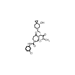 CN(C)C(=O)[C@@H](CCN1CCC2(CC2)[C@H](O)C1)N1CCN(C(=O)Nc2cccc(Cl)c2)CCC1=O